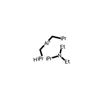 CC(C)[CH2][Al+][CH2]C(C)C.CCN(CC)C(C)C.[H-]